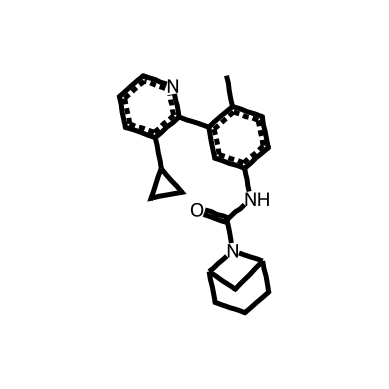 Cc1ccc(NC(=O)N2C3CCCC2C3)cc1-c1ncccc1C1CC1